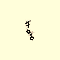 COc1ccc(COc2ccc3c(c2)NCC(c2cccnc2)=N3)nc1